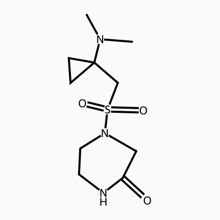 CN(C)C1(CS(=O)(=O)N2CCNC(=O)C2)CC1